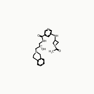 CC(=O)N1CC(Nc2cncc(C(=O)NC[C@H](O)CN3CCc4ccccc4C3)c2)C1